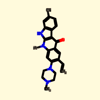 C=Cc1cc2c(=O)c3c4ccc(C#N)cc4[nH]c3n(C(C)C)c2cc1N1CCN(C)CC1